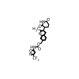 Cc1nc2cc(COC(=O)Nc3cc(C(F)(F)F)no3)ccc2cc1C1CCC(=O)NC1=O